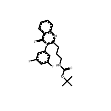 CC(C)(C)OC(=O)NCCCc1nc2ccccc2c(=O)n1-c1cc(F)cc(F)c1